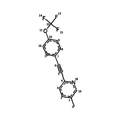 Cc1ccc(C#Cc2ccc(OC(F)(F)F)cc2)nc1